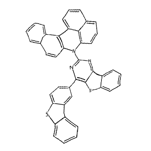 c1ccc2c3c(ccc2c1)N(c1nc(-c2ccc4sc5ccccc5c4c2)c2sc4ccccc4c2n1)c1cccc2cccc-3c12